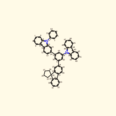 c1ccc(-n2c3ccccc3c3ccc(-c4cc(-c5ccc6c(c5)C5(CCCC5)c5ccccc5-6)cc(-n5c6ccccc6c6ccccc65)c4)cc32)cc1